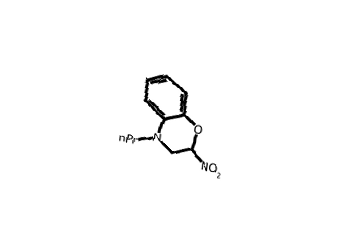 CCCN1CC([N+](=O)[O-])Oc2ccccc21